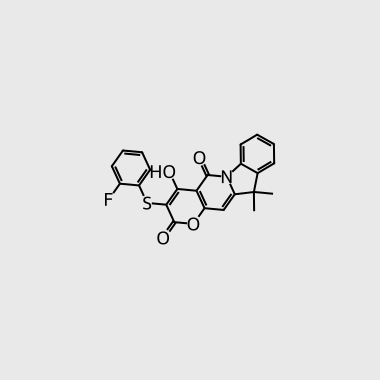 CC1(C)c2ccccc2-n2c1cc1oc(=O)c(Sc3ccccc3F)c(O)c1c2=O